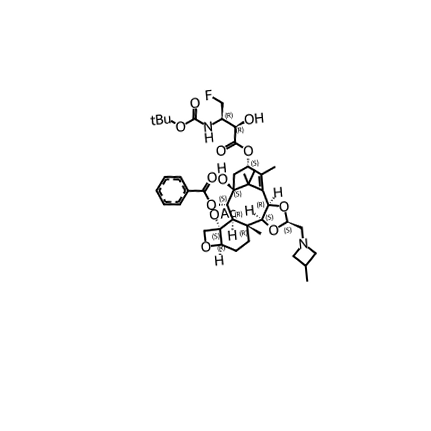 CC(=O)O[C@@]12CO[C@@H]1CC[C@@]1(C)[C@@H]3O[C@H](CN4CC(C)C4)O[C@@H]3C3=C(C)[C@@H](OC(=O)[C@H](O)[C@H](CF)NC(=O)OC(C)(C)C)C[C@@](O)([C@@H](OC(=O)c4ccccc4)[C@@H]12)C3(C)C